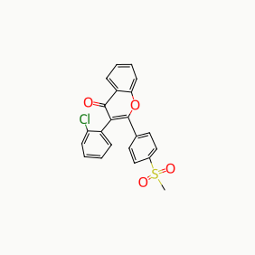 CS(=O)(=O)c1ccc(-c2oc3ccccc3c(=O)c2-c2ccccc2Cl)cc1